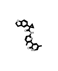 Cc1c[nH]c(=O)c(-c2nc(NC(=O)C3(c4ccc5c(c4)CCO5)CC3)ccc2C)c1